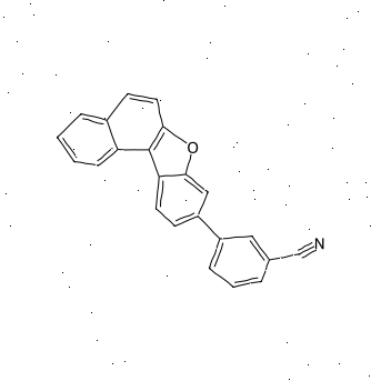 N#Cc1cccc(-c2ccc3c(c2)oc2ccc4ccccc4c23)c1